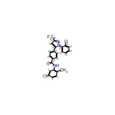 Cc1ccc(Cl)cc1NC(=O)c1ccc(-c2cc(C(F)(F)F)nn2-c2ccccc2Cl)cc1